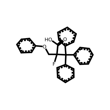 O=C(O)C(F)(COc1ccccc1)C(c1ccccc1)(c1ccccc1)c1ccccc1